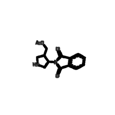 CC(=O)OCC1CNCC1N1C(=O)c2ccccc2C1=O